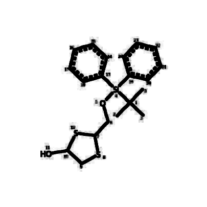 CC(C)(C)[Si](OCC1SCC(O)S1)(c1ccccc1)c1ccccc1